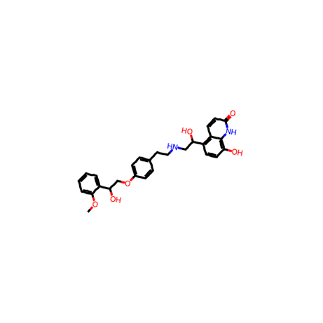 COc1ccccc1C(O)COc1ccc(CCNCC(O)c2ccc(O)c3[nH]c(=O)ccc23)cc1